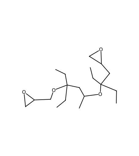 CCC(CC)(CC(C)OC(CC)(CC)CC1CO1)OCC1CO1